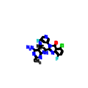 Cc1nc(N)c(C#N)c(N[C@@H](C)c2nc3c(F)ccc(Cl)c3c(=O)n2-c2cncc(F)c2)n1